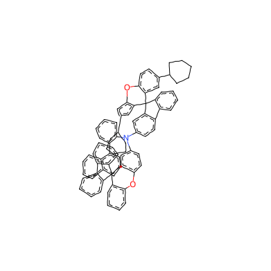 c1ccc2c(c1)Oc1ccc(N(c3ccc4c(c3)C3(c5cc(C6CCCCC6)ccc5Oc5ccc(C6CCCCC6)cc53)c3ccccc3-4)c3ccccc3-c3cccc4ccccc34)cc1C21c2ccccc2-c2ccccc21